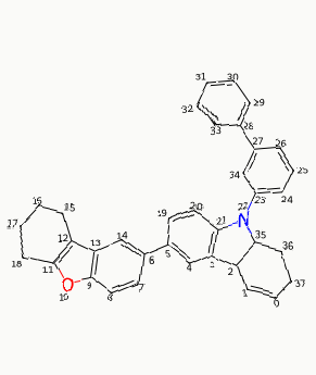 C1=CC2c3cc(-c4ccc5oc6c(c5c4)CCCC6)ccc3N(c3cccc(-c4ccccc4)c3)C2CC1